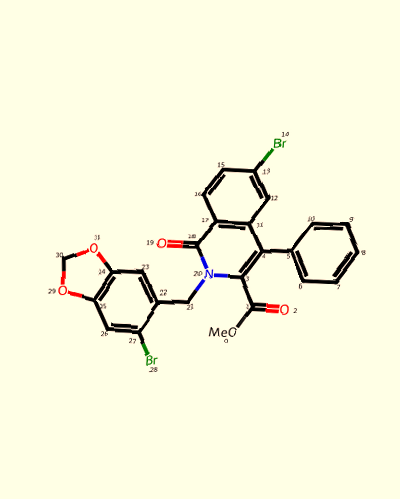 COC(=O)c1c(-c2ccccc2)c2cc(Br)ccc2c(=O)n1Cc1cc2c(cc1Br)OCO2